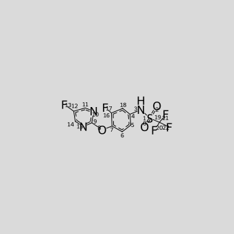 O=S(=O)(Nc1ccc(Oc2ncc(F)cn2)c(F)c1)C(F)(F)F